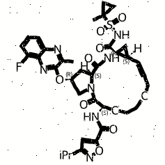 Cc1nc2cccc(F)c2nc1O[C@@H]1C[C@H]2C(=O)N[C@]3(C(=O)NS(=O)(=O)C4(C)CC4)C[C@H]3C=CCCCCC[C@H](NC(=O)c3cc(C(C)C)no3)C(=O)N2C1